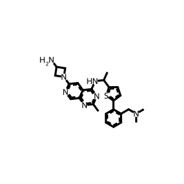 Cc1nc(NC(C)c2ccc(-c3ccccc3CN(C)C)s2)c2cc(N3CC(N)C3)ncc2n1